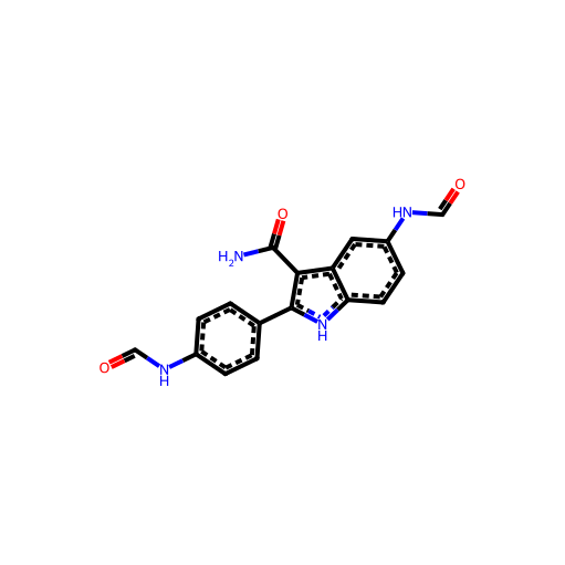 NC(=O)c1c(-c2ccc(NC=O)cc2)[nH]c2ccc(NC=O)cc12